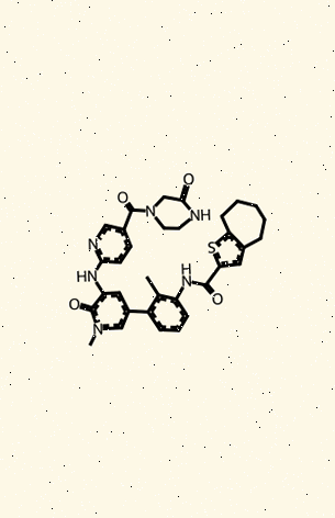 Cc1c(NC(=O)c2cc3c(s2)CCCCC3)cccc1-c1cc(Nc2ccc(C(=O)N3CCNC(=O)C3)cn2)c(=O)n(C)c1